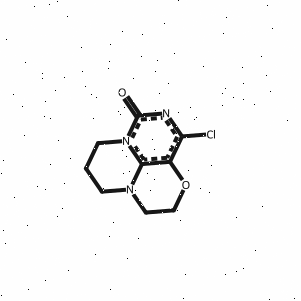 O=c1nc(Cl)c2c3n1CCCN3CCO2